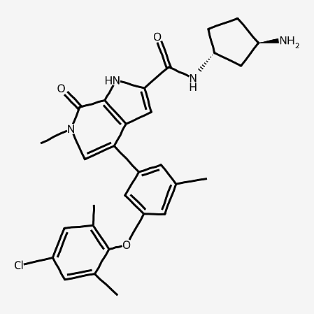 Cc1cc(Oc2c(C)cc(Cl)cc2C)cc(-c2cn(C)c(=O)c3[nH]c(C(=O)N[C@@H]4CC[C@@H](N)C4)cc23)c1